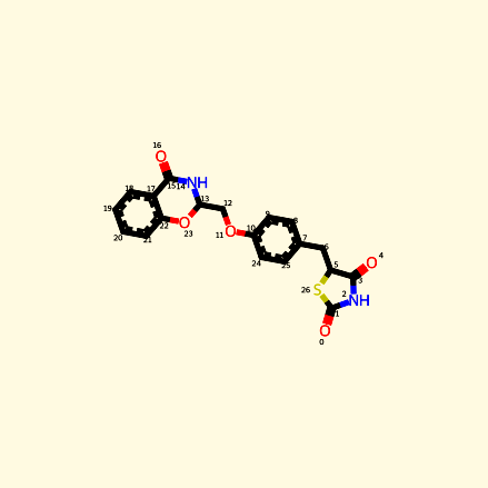 O=C1NC(=O)C(Cc2ccc(OCC3NC(=O)c4ccccc4O3)cc2)S1